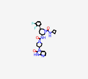 O=C(NC1CCC1)N1C[C@H](NC(=O)N2CCC(n3c(=O)[nH]c4ncccc43)CC2)CC[C@@H](c2cccc(F)c2F)C1